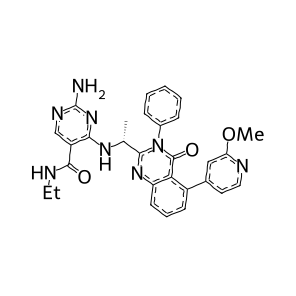 CCNC(=O)c1cnc(N)nc1N[C@H](C)c1nc2cccc(-c3ccnc(OC)c3)c2c(=O)n1-c1ccccc1